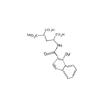 O=C(NC(CC(C(=O)O)C(=O)O)C(=O)O)c1ccc2ccccc2c1O